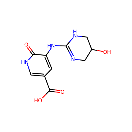 O=C(O)c1c[nH]c(=O)c(NC2=NCC(O)CN2)c1